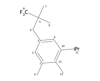 Cc1cc(CC(C)(C)C(F)(F)F)cc(C(C)C)c1C